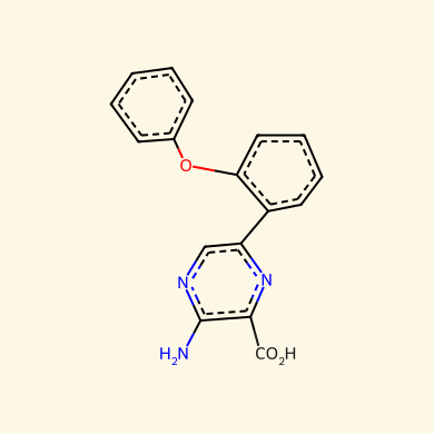 Nc1ncc(-c2ccccc2Oc2ccccc2)nc1C(=O)O